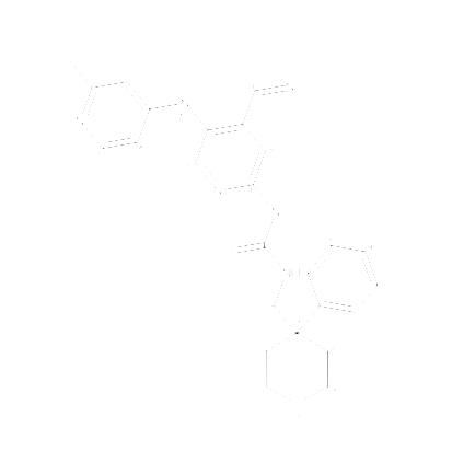 Cc1cc(Nc2cnc(NC(=O)NCC3(c4ccccc4)CCOCC3)cc2C=N)ccn1